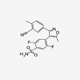 Cc1ccc(-c2noc(C)c2-c2cc(F)c(S(N)(=O)=O)cc2F)cc1C#N